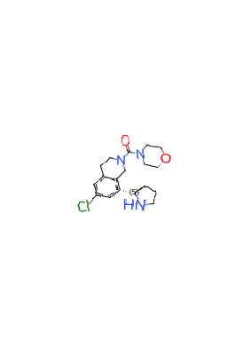 O=C(N1CCOCC1)N1CCc2cc(Cl)cc([C@@H]3CCCN3)c2C1